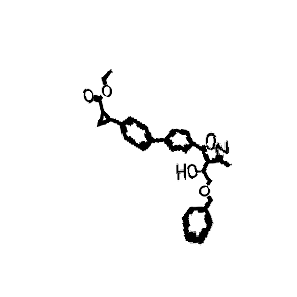 CCOC(=O)C1CC1c1ccc(-c2ccc(-c3onc(C)c3[C@@H](O)COCc3ccccc3)cc2)cc1